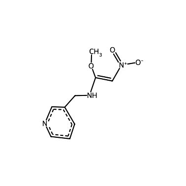 CO/C(=C\[N+](=O)[O-])NCc1cccnc1